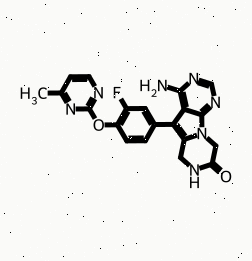 Cc1ccnc(Oc2ccc(-c3c4n(c5ncnc(N)c35)CC(=O)NC4)cc2F)n1